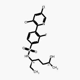 CC[C@H](CC[C@H](C)O)NS(=O)(=O)c1ccc(-c2ncc(Cl)cc2Cl)c(F)c1